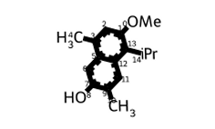 COc1cc(C)c2cc(O)c(C)cc2c1C(C)C